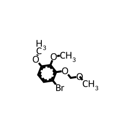 COCOc1c(Br)ccc(OC)c1OC